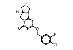 O=c1nc(OCc2ccc(Cl)c(F)c2)cc2n1C[C@H]1COCN21